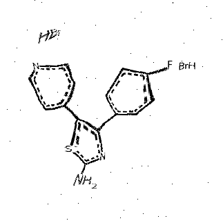 Br.Br.Nc1nc(-c2ccc(F)cc2)c(-c2ccncc2)s1